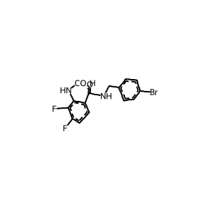 O=C(O)Nc1c(C(=O)NCc2ccc(Br)cc2)ccc(F)c1F